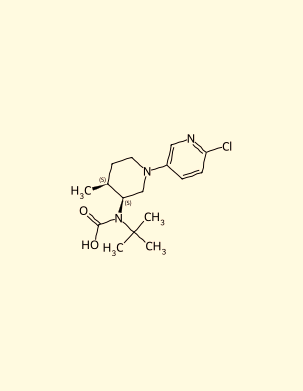 C[C@H]1CCN(c2ccc(Cl)nc2)C[C@H]1N(C(=O)O)C(C)(C)C